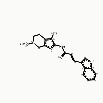 CCOC(=O)N1CCc2c(sc(NC(=O)C=Cc3csc4ccccc34)c2C#N)C1